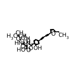 CCc1ccc(C#CC#Cc2ccc(C(=O)NC(C(=O)O)C(C)(C)NC(=O)OC(C)(C)C)c(O)c2)o1